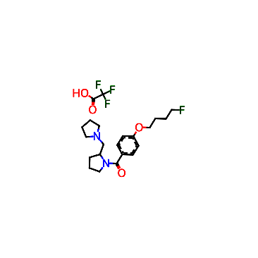 O=C(O)C(F)(F)F.O=C(c1ccc(OCCCCF)cc1)N1CCCC1CN1CCCC1